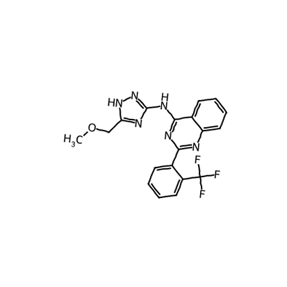 COCc1nc(Nc2nc(-c3ccccc3C(F)(F)F)nc3ccccc23)n[nH]1